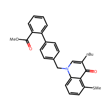 CCCCc1cn(Cc2ccc(-c3ccccc3C(=O)OC)cc2)c2cccc(SC)c2c1=O